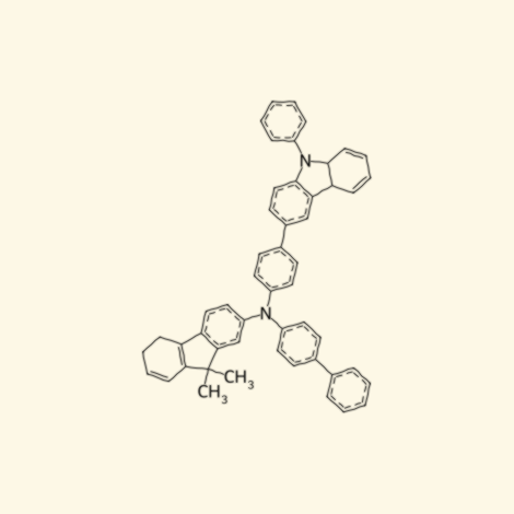 CC1(C)C2=C(CCC=C2)c2ccc(N(c3ccc(-c4ccccc4)cc3)c3ccc(-c4ccc5c(c4)C4C=CC=CC4N5c4ccccc4)cc3)cc21